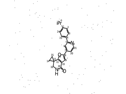 CC(C)c1ccc(-c2cc(-c3cc4c(o3)C3(CC3)CNC4=O)ccn2)cc1